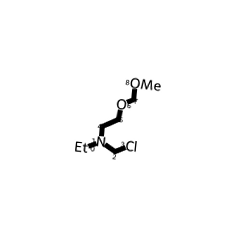 CCN(CCl)CCOCOC